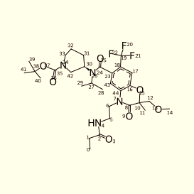 CCC(=O)NCCN1C(=O)C(C)(COC)Oc2cc(C(F)(F)F)c(C(=O)N(C(C)C)[C@@H]3CCCN(C(=O)OC(C)(C)C)C3)cc21